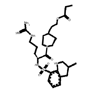 CCC(=O)OCCC1CCN(C(=O)[C@H](CCCNC(=N)N)NS(=O)(=O)c2cccc3c2NCC(C)C3)CC1